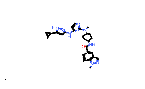 CN(c1nccc(Nc2cc(C3CC3)[nH]n2)n1)C1CCC(NC(=O)c2ccc3c(cnn3C)c2)CC1